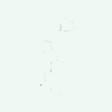 Cc1ccc(S(=O)(=O)c2c(OC(C)CC(=O)N[C@@H](CC(=O)O)C(=O)O)no[n+]2[O-])cc1